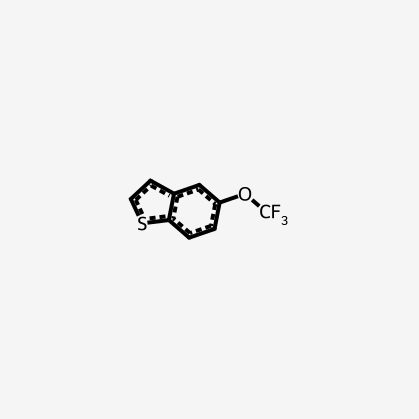 FC(F)(F)Oc1ccc2sccc2c1